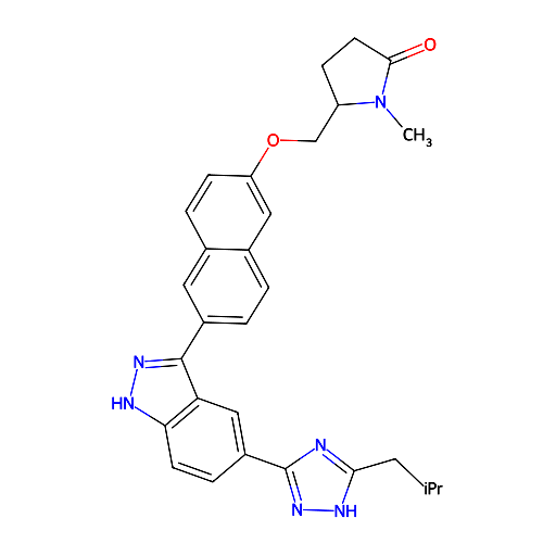 CC(C)Cc1nc(-c2ccc3[nH]nc(-c4ccc5cc(OCC6CCC(=O)N6C)ccc5c4)c3c2)n[nH]1